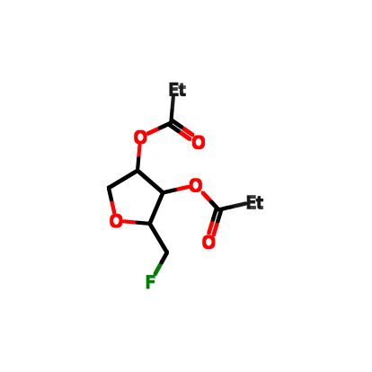 CCC(=O)OC1COC(CF)C1OC(=O)CC